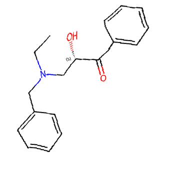 CCN(Cc1ccccc1)C[C@H](O)C(=O)c1ccccc1